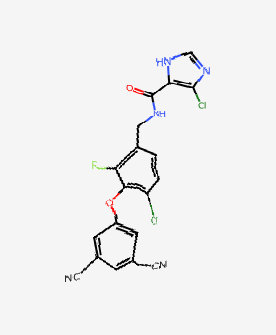 N#Cc1cc(C#N)cc(Oc2c(Cl)ccc(CNC(=O)c3[nH]cnc3Cl)c2F)c1